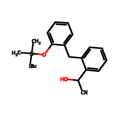 CC(C)(C)[Si](C)(C)Oc1ccccc1Cc1ccccc1C(O)C#N